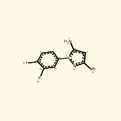 CC(C)c1cc(N)n(-c2ccc(F)c(F)c2)n1